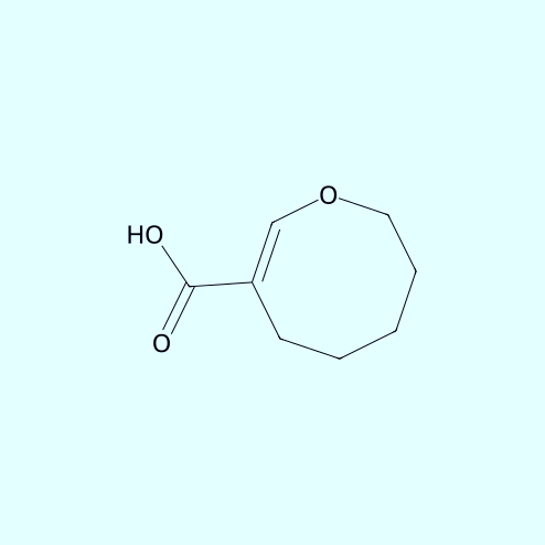 O=C(O)/C1=C/OCCCCC1